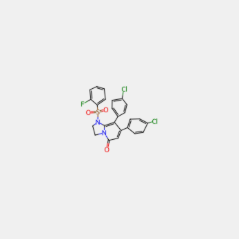 O=c1cc(-c2ccc(Cl)cc2)c(-c2ccc(Cl)cc2)c2n1CCN2S(=O)(=O)c1ccccc1F